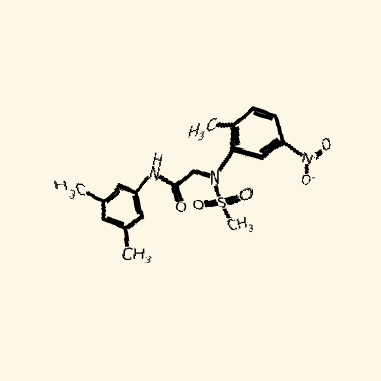 Cc1cc(C)cc(NC(=O)CN(c2cc([N+](=O)[O-])ccc2C)S(C)(=O)=O)c1